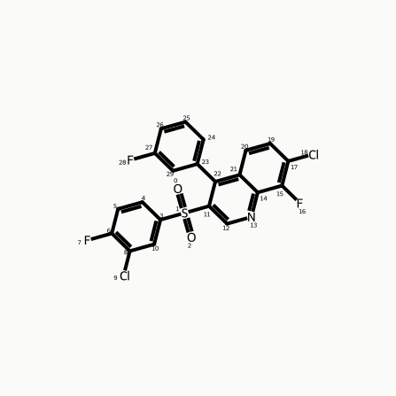 O=S(=O)(c1ccc(F)c(Cl)c1)c1cnc2c(F)c(Cl)ccc2c1-c1cccc(F)c1